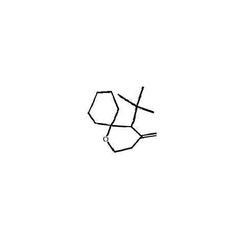 C=C1CCOC2(CCCCC2)C1C(C)(C)C